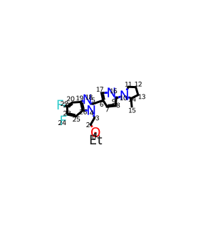 CCOCCn1c(-c2ccc(N3CCCC3C)nc2)nc2cc(F)c(F)cc21